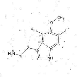 COc1c(F)cc2[nH]cc(CCN)c2c1F